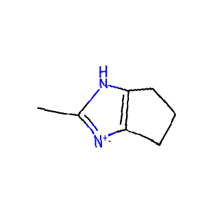 CC1=[N+]C2=C(CCC2)N1